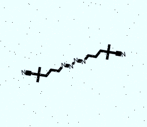 CC(C)(C#N)CCCN=NN=NCCCC(C)(C)C#N